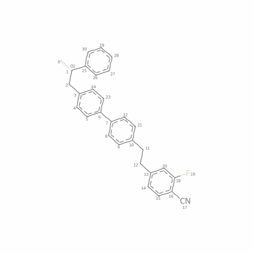 C[C@@H](Cc1ccc(-c2ccc(CCc3ccc(C#N)c(F)c3)cc2)cc1)c1ccccc1